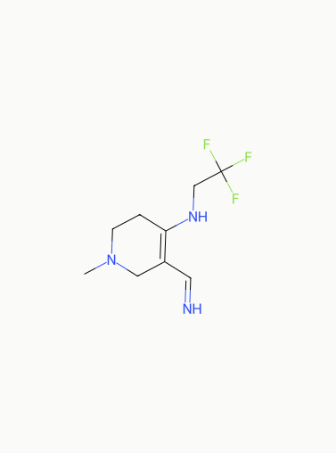 CN1CCC(NCC(F)(F)F)=C(C=N)C1